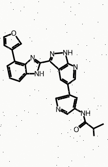 CC(C)C(=O)Nc1cncc(-c2cnc3[nH]nc(-c4nc5c(-c6ccoc6)cccc5[nH]4)c3c2)c1